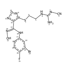 N#C/N=C(\N)NCCSc1nonc1/C(=N/O)Nc1ccc(F)c(Br)c1